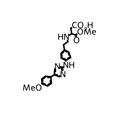 COC(=O)C(CC(=O)O)NCCc1ccc(Nc2ncc(-c3ccc(OC)cc3)cn2)cc1